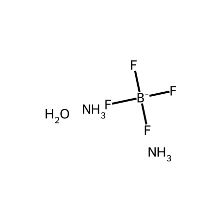 F[B-](F)(F)F.N.N.O